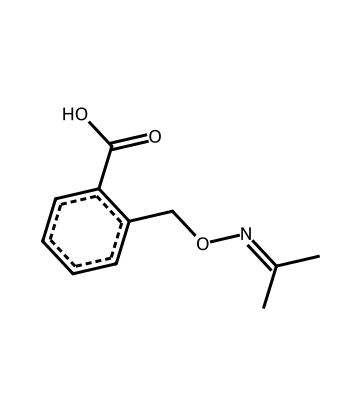 CC(C)=NOCc1ccccc1C(=O)O